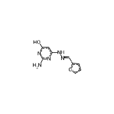 Nc1nc(O)cc(NN=Cc2ccco2)n1